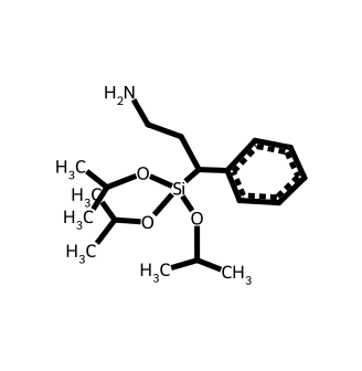 CC(C)O[Si](OC(C)C)(OC(C)C)C(CCN)c1ccccc1